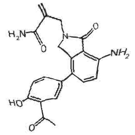 C=C(CN1Cc2c(-c3ccc(O)c(C(C)=O)c3)ccc(N)c2C1=O)C(N)=O